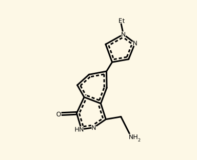 CCn1cc(-c2ccc3c(=O)[nH]nc(CN)c3c2)cn1